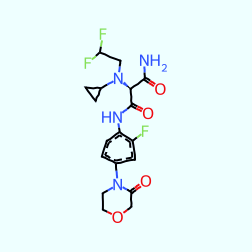 NC(=O)[C@@H](C(=O)Nc1ccc(N2CCOCC2=O)cc1F)N(CC(F)F)C1CC1